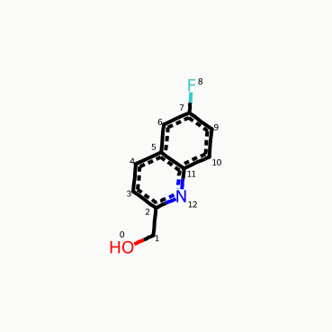 OCc1ccc2cc(F)ccc2n1